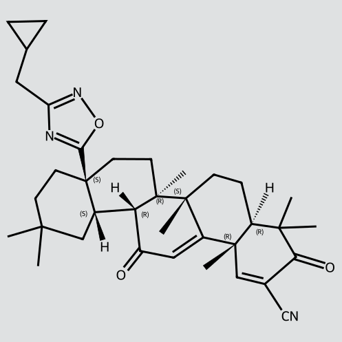 CC1(C)CC[C@]2(c3nc(CC4CC4)no3)CC[C@]3(C)[C@H](C(=O)C=C4[C@@]5(C)C=C(C#N)C(=O)C(C)(C)[C@@H]5CC[C@]43C)[C@@H]2C1